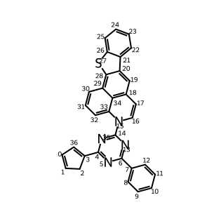 C1=CCC(c2nc(-c3ccccc3)nc(N3C=Cc4cc5c6ccccc6sc5c5cccc3c45)n2)=C1